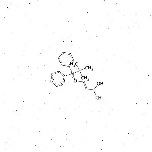 CC(O)C=CO[Si](c1ccccc1)(c1ccccc1)C(C)(C)C